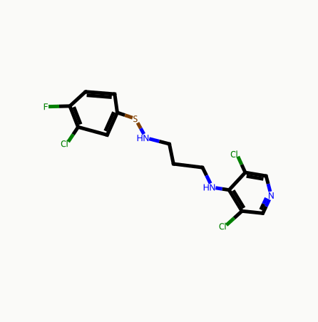 Fc1ccc(SNCCCNc2c(Cl)cncc2Cl)cc1Cl